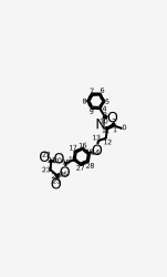 Cc1oc(-c2ccccc2)nc1CCOc1ccc(C2OC(=O)CC(=O)O2)cc1